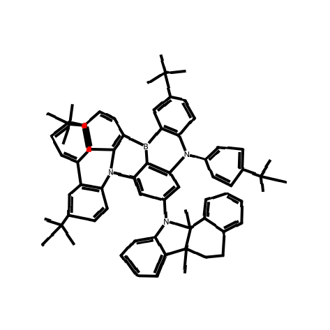 CC(C)(C)c1ccc(N2c3ccc(C(C)(C)C)cc3B3c4ccc(C(C)(C)C)cc4N(c4ccc(C(C)(C)C)cc4-c4ccccc4)c4cc(N5c6ccccc6C6(C)CCc7ccccc7C56C)cc2c43)cc1